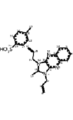 C=CCN1c2nc3ccccc3nc2N(CC=C)C1C.Cc1ccc(S(=O)(=O)O)cc1